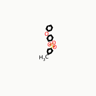 Cc1ccc(S(=O)(=O)Oc2ccc(Oc3ccccc3)cc2)cc1